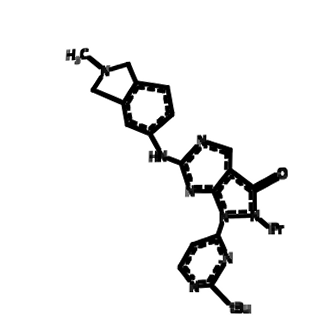 CC(C)n1c(=O)c2cnc(Nc3ccc4c(c3)CN(C)C4)nc2n1-c1ccnc(C(C)(C)C)n1